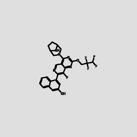 Oc1cc(-c2ncc3c(N4CC5CCC(C4)N5)nc(OCC(F)(F)C(F)F)nc3c2F)c2ccccc2c1